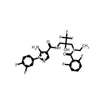 CCN(CC(O)(CNC(=O)c1cnn(-c2ccc(F)c(F)c2)c1N)C(F)(F)F)C(=O)c1c(F)cccc1F